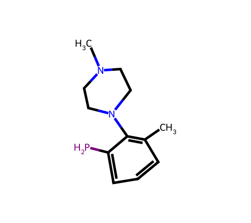 Cc1cccc(P)c1N1CCN(C)CC1